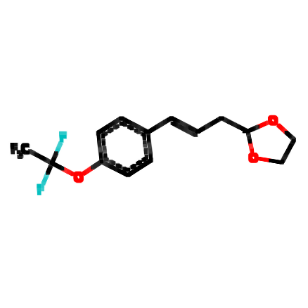 FC(F)(F)C(F)(F)Oc1ccc(C=CC[C]2OCCO2)cc1